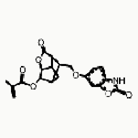 C=C(C)C(=O)OC1C2CC3C1OC(=O)C3C2COc1ccc2[nH]c(=O)oc2c1